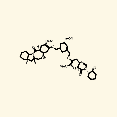 CCC1CCCC[C@@H]1N1C=NC(C/C(OCC2=C[C@@H](CS)CC(COC3=C(OC)C[C@@H]4C(=O)N5C6CCCC[C@@H]6C[C@H]5CNC4C3)C2)=C(\C)OC)CC1=O